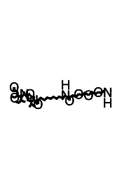 CCC(C)C(C(CC=O)OC)N(C)C(=O)CC(C(C)C)N(C)C(=O)CCCCCCCCNC(=O)CCOCCOCCOCCNC